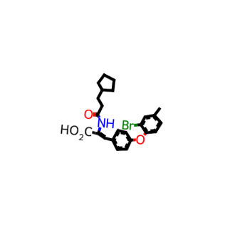 Cc1ccc(Oc2ccc(C=C(NC(=O)CCC3CCCC3)C(=O)O)cc2)c(Br)c1